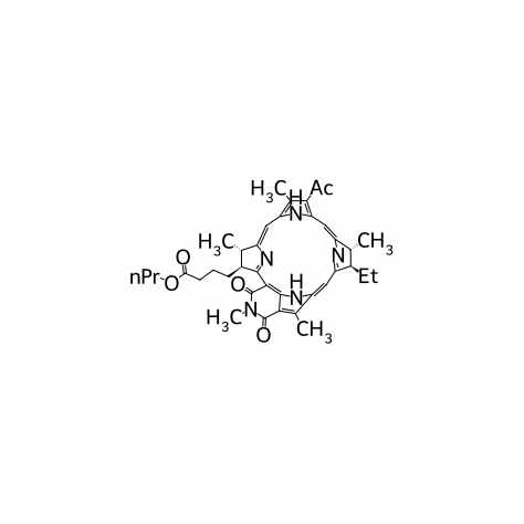 CCCOC(=O)CCC[C@@H]1c2nc(cc3[nH]c(cc4nc(cc5[nH]c6c2C(=O)N(C)C(=O)c6c5C)[C@H](CC)[C@H]4C)c(C(C)=O)c3C)[C@H]1C